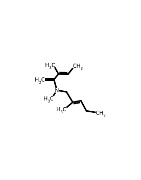 C=C(/C(C)=C/C)N(C)C/C(C)=C/CC